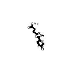 COC(=O)CCc1nc(-c2ccc(Cl)cn2)n(C)n1